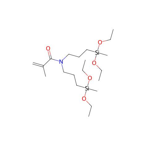 C=C(C)C(=O)N(CCC[Si](C)(OCC)OCC)CCC[Si](C)(OCC)OCC